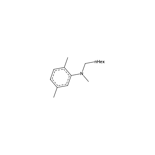 CCCCCCCN(C)c1cc(C)ccc1C